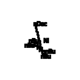 CCCCCCCCCCCCCCCCCCCCCCC=CC(C=Nc1cc(CCCC)cc(CCCC)c1)=Nc1cc(CCCC)cc(CCCC)c1.[Ni]